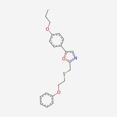 [CH2]CCOc1ccc(-c2cnc(CSCCOc3ccccc3)o2)cc1